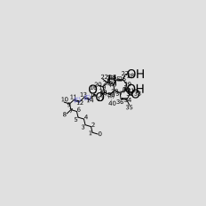 CCCCCCCC(C)C(C)/C=C/C=C/C(=O)O[C@H]1C(C)C(C)(C)[C@@H]2C=C(CO)C[C@]3(O)C(=O)C(C)=CC3C2[C@@H]1C